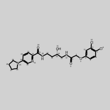 O=C(COc1ccc(Cl)c(Cl)c1)NC[C@@H](O)CCNC(=O)c1ccc(N2CCCC2)cn1